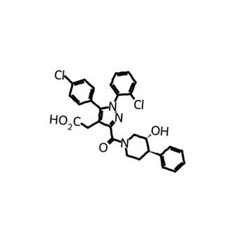 O=C(O)Cc1c(C(=O)N2CC[C@H](c3ccccc3)[C@@H](O)C2)nn(-c2ccccc2Cl)c1-c1ccc(Cl)cc1